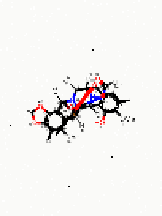 COc1c(C)cc2c(c1O)[C@H]1N[C@@H](C2)[C@H](C#N)N2C1[C@@H]1SCC(NC(=O)C(F)(F)F)C(=O)OC[C@H]2c2c3c(c(C)c(OC(C)=O)c21)OCO3